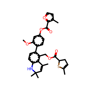 COc1cc(OC(=O)c2occc2C)ccc1-c1ccc2c(c1COC(=O)C1CC=C(C)S1)C(C)=CC(C)(C)N2